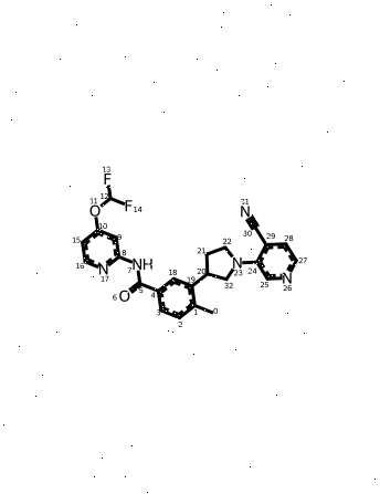 Cc1ccc(C(=O)Nc2cc(OC(F)F)ccn2)cc1C1CCN(c2cnccc2C#N)C1